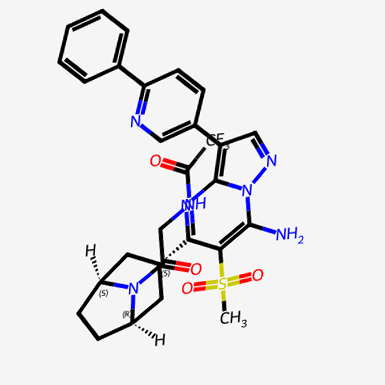 CS(=O)(=O)c1c([C@@H]2C[C@H]3CC[C@@H](C2)N3C(=O)CNC(=O)C(F)(F)F)nc2c(-c3ccc(-c4ccccc4)nc3)cnn2c1N